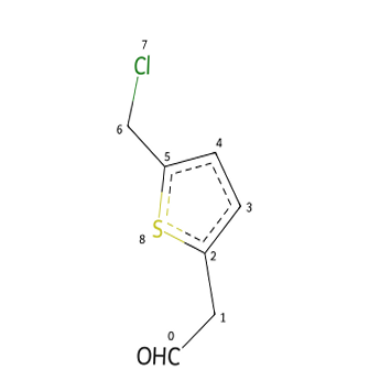 O=CCc1ccc(CCl)s1